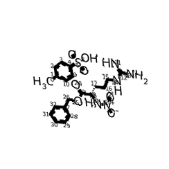 Cc1ccc(S(=O)(=O)O)cc1.N=C(N)NCCC[C@H](N[N+](=O)[O-])C(=O)OCc1ccccc1